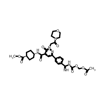 COC(=O)[C@H]1CC[C@H](NC(=O)c2cc(-c3ccc(C(=N)NC(=O)OCOC(C)=O)cc3)nn(CC(=O)N3CCOCC3)c2=O)CC1